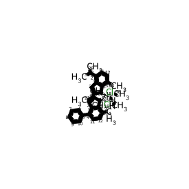 CC1=Cc2c(-c3ccccc3)ccc(C)c2[CH]1[Zr]([Cl])([Cl])([CH]1C(C(C)C)=Cc2c(C(C)C)ccc(C)c21)[SiH](C)C